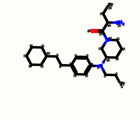 CC(C)CCN(c1ccc(CCC2CCCCC2)cc1)[C@H]1CCCN(C(=O)C(N)CC(C)C)C1